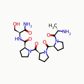 C[C@H](N)C(=O)N1CCC[C@H]1C(=O)N1CCC[C@H]1C(=O)N1CCC[C@H]1C(=O)N[C@@H](CO)C(N)=O